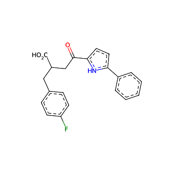 O=C(CC(Cc1ccc(F)cc1)C(=O)O)c1ccc(-c2ccccc2)[nH]1